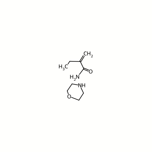 C1COCCN1.C=C(CC)C(N)=O